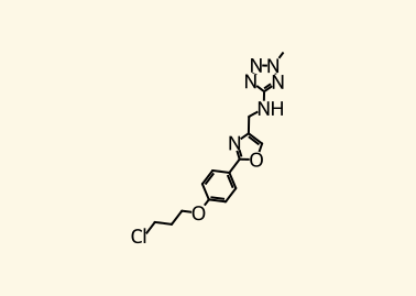 Cn1nnc(NCc2coc(-c3ccc(OCCCCl)cc3)n2)n1